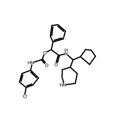 O=C(Nc1ccc(Cl)cc1)OC(C(=O)NC(C1CCCC1)C1CCNCC1)c1ccccc1